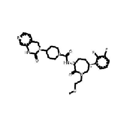 COCCN1C[C@H](c2cccc(F)c2F)CC[C@@H](NC(=O)N2CCC(N3Cc4ccncc4NC3=O)CC2)C1=O